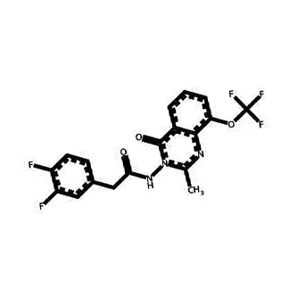 Cc1nc2c(OC(F)(F)F)cccc2c(=O)n1NC(=O)Cc1ccc(F)c(F)c1